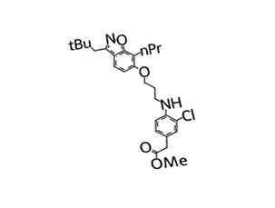 CCCc1c(OCCCNc2ccc(CC(=O)OC)cc2Cl)ccc2c(CC(C)(C)C)noc12